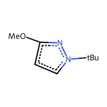 COc1ccn(C(C)(C)C)n1